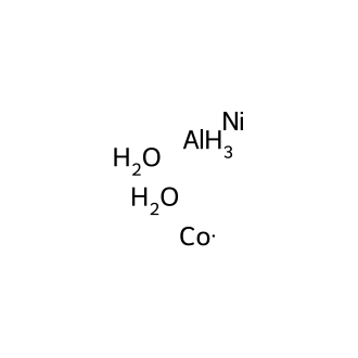 O.O.[AlH3].[Co].[Ni]